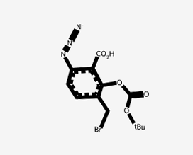 CC(C)(C)OC(=O)Oc1c(CBr)ccc(N=[N+]=[N-])c1C(=O)O